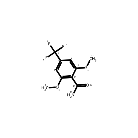 COc1cc(C(F)(F)F)cc(SC)c1C(N)=O